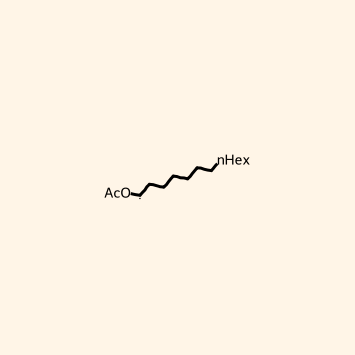 CCCCCCCCCCCC[CH]OC(C)=O